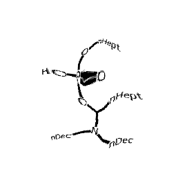 CCCCCCCCCCN(CCCCCCCCCC)C(CCCCCCC)OP(=O)(O)OCCCCCCC